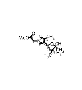 COC(=O)Cn1cc(B2OC(C)(C)C(C)(C)O2)c(C)n1